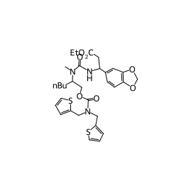 CCCCC(COC(=O)N(Cc1cccs1)Cc1cccs1)N(C)C(=O)NC(CC(=O)OCC)c1ccc2c(c1)OCO2